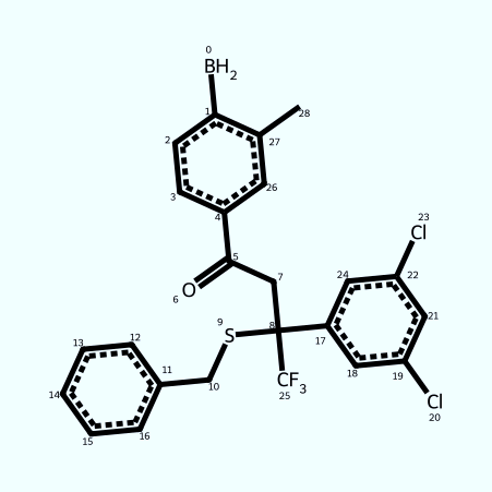 Bc1ccc(C(=O)CC(SCc2ccccc2)(c2cc(Cl)cc(Cl)c2)C(F)(F)F)cc1C